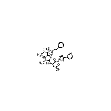 CC(C)[C@H](NC(=O)CCc1ccccc1)C(=O)N[C@@H](C)C(=O)NC(CC(=O)O)C(=O)Cn1nnc(-c2cccnc2)n1